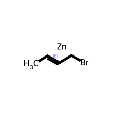 C/C=C/CBr.[Zn]